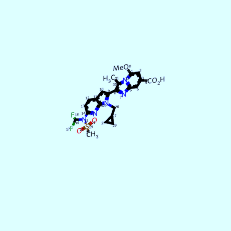 COc1cc(C(=O)O)cc2nc(-c3cc4ccc(N(C(F)F)S(C)(=O)=O)nc4n3CC3CC3)c(C)n12